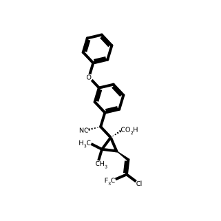 CC1(C)[C@H](/C=C(/Cl)C(F)(F)F)[C@]1(C(=O)O)[C@H](C#N)c1cccc(Oc2ccccc2)c1